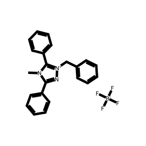 Cn1c(-c2ccccc2)n[n+](Cc2ccccc2)c1-c1ccccc1.F[B-](F)(F)F